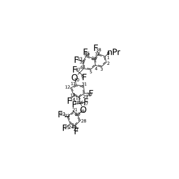 CCCc1ccc2cc(C(F)(F)Oc3cc(F)c(C(F)(F)Oc4cc(F)c(F)c(F)c4)c(F)c3)c(F)c(F)c2c1F